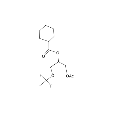 CC(=O)OCC(COC(C)(F)F)OC(=O)C1CCCCC1